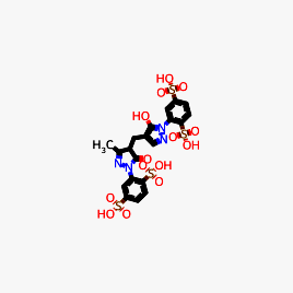 CC1=NN(c2cc(S(=O)(=O)O)ccc2S(=O)(=O)O)C(=O)C1Cc1cnn(-c2cc(S(=O)(=O)O)ccc2S(=O)(=O)O)c1O